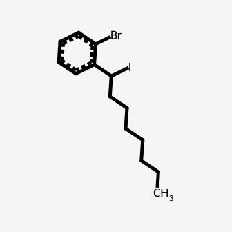 CCCCCCCC(I)c1ccccc1Br